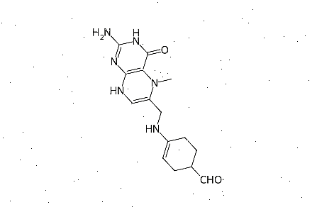 CN1C(CNC2=CCC([C]=O)CC2)=CNc2nc(N)[nH]c(=O)c21